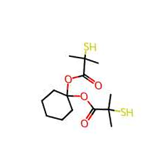 CC(C)(S)C(=O)OC1(OC(=O)C(C)(C)S)CCCCC1